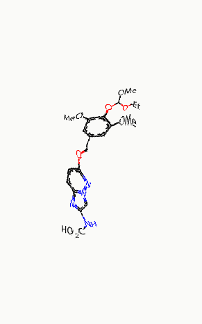 CCOC(OC)Oc1c(OC)cc(COc2ccc3nc(NC(=O)O)cn3n2)cc1OC